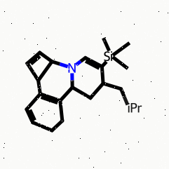 CC(C)CC1CC2C3=C(C=CCC3)C3C=CC3N2C=C1[Si](C)(C)C